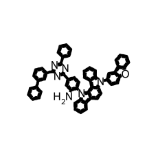 Nc1cc(-c2nc(-c3ccccc3)nc(-c3cccc(-c4ccccc4)c3)n2)ccc1-n1c2ccccc2c2ccc3c(c4ccccc4n3-c3ccc4oc5ccccc5c4c3)c21